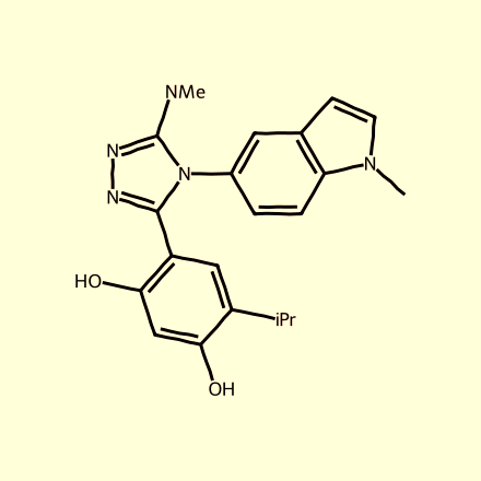 CNc1nnc(-c2cc(C(C)C)c(O)cc2O)n1-c1ccc2c(ccn2C)c1